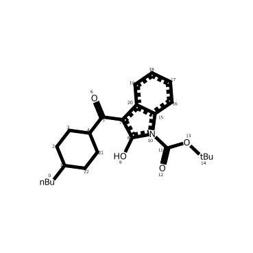 CCCCC1CCC(C(=O)c2c(O)n(C(=O)OC(C)(C)C)c3ccccc23)CC1